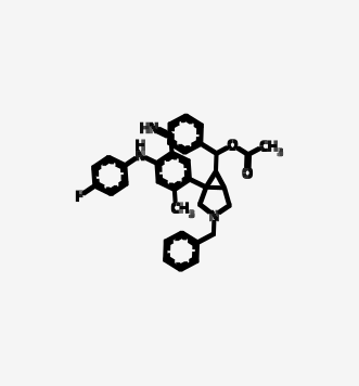 CC(=O)OC(c1ccccc1)C1C2CN(Cc3ccccc3)CC21c1cc(C=N)c(Nc2ccc(F)cc2)cc1C